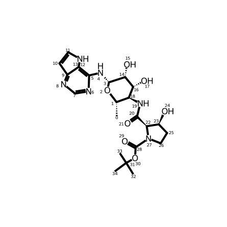 C[C@@H]1O[C@H](Nc2ncnc3cc[nH]c23)[C@H](O)[C@H](O)[C@H]1NC(=O)[C@H]1[C@@H](O)CCN1C(=O)OC(C)(C)C